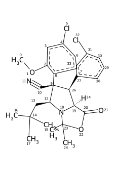 COc1cc(Cl)ccc1[C@@]1(C#N)[C@H](CC(C)(C)C)N2[C@H](C(=O)OC2(C)C)[C@@H]1c1cccc(Cl)c1